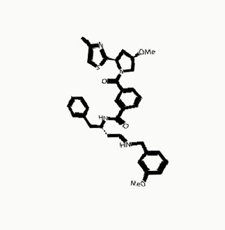 COc1cccc(CNCC[C@H](Cc2ccccc2)NC(=O)c2cccc(C(=O)N3C[C@H](OC)C[C@@H]3c3nc(C)cs3)c2)c1